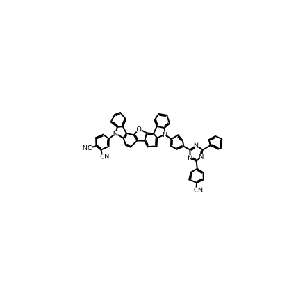 N#Cc1ccc(-c2nc(-c3ccccc3)nc(-c3ccc(-n4c5ccccc5c5c6oc7c(ccc8c7c7ccccc7n8-c7ccc(C#N)c(C#N)c7)c6ccc54)cc3)n2)cc1